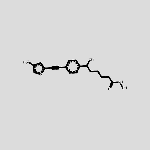 Cc1csc(C#Cc2ccc(C(O)CCCCC(=O)NO)cc2)c1